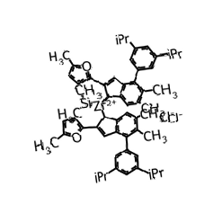 Cc1ccc(C2=Cc3c(cc(C)c(C)c3-c3cc(C(C)C)cc(C(C)C)c3)[CH]2[Zr+2]([CH]2C(c3ccc(C)o3)=Cc3c2cc(C)c(C)c3-c2cc(C(C)C)cc(C(C)C)c2)=[Si](C)C)o1.[Cl-].[Cl-]